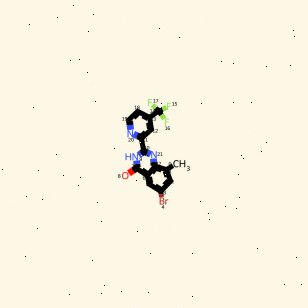 Cc1cc(Br)cc2c(=O)[nH]c(-c3cc(C(F)(F)F)ccn3)nc12